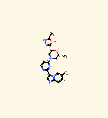 Cc1nnc([C@H]2CN(c3ccnc(-c4cnc5ccc(C(F)(F)F)cn45)n3)C[C@@H](C)O2)o1